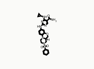 NC(=O)c1cnc(Nc2ccc3c(c2)OC[C@@H]2CN(S(=O)(=O)c4ccccc4)CCN32)nc1NC1CC1